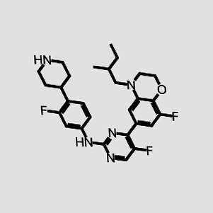 CCC(C)CN1CCOc2c(F)cc(-c3nc(Nc4ccc(C5CCNCC5)c(F)c4)ncc3F)cc21